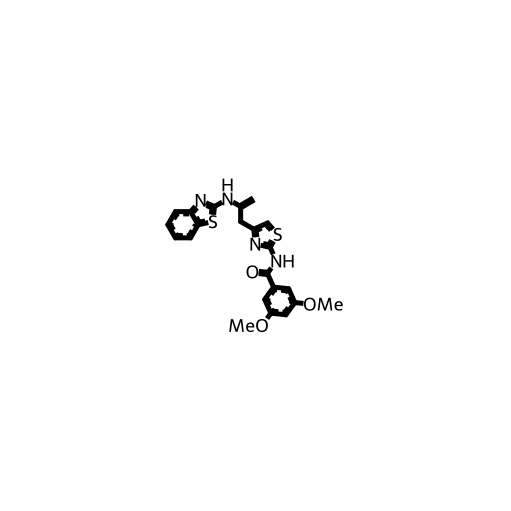 C=C(Cc1csc(NC(=O)c2cc(OC)cc(OC)c2)n1)Nc1nc2ccccc2s1